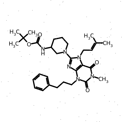 CC(C)=CCn1c(N2CCCC(NC(=O)OC(C)(C)C)C2)nc2c1c(=O)n(C)c(=O)n2CCCc1ccccc1